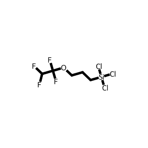 FC(F)C(F)(F)OCCC[Si](Cl)(Cl)Cl